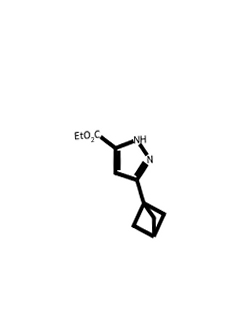 CCOC(=O)c1cc(C23CC(C2)C3)n[nH]1